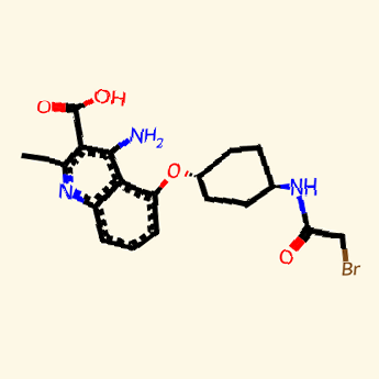 Cc1nc2cccc(O[C@H]3CC[C@H](NC(=O)CBr)CC3)c2c(N)c1C(=O)O